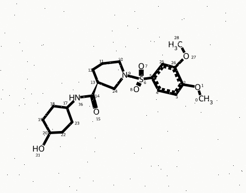 COc1ccc(S(=O)(=O)N2CCC[C@H](C(=O)NC3CCC(O)CC3)C2)cc1OC